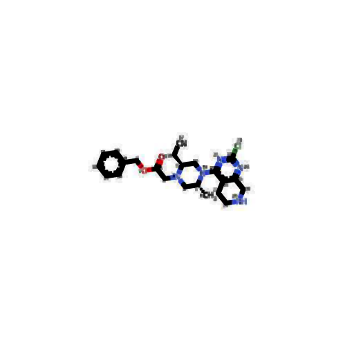 C[C@@H]1CN(CC(=O)OCc2ccccc2)[C@@H](CC#N)CN1c1nc(Cl)nc2c1CCNC2